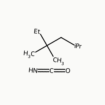 CCC(C)(C)CC(C)C.N=C=O